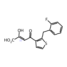 O=C(O)/C(O)=C/C(=O)c1ccsc1Cc1ccccc1F